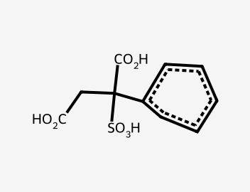 O=C(O)CC(C(=O)O)(c1ccccc1)S(=O)(=O)O